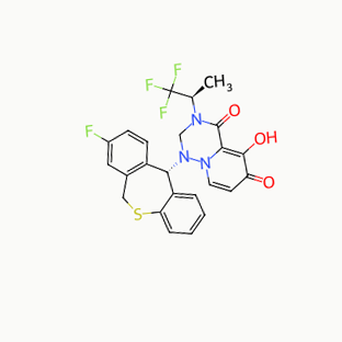 C[C@@H](N1CN([C@H]2c3ccc(F)cc3CSc3ccccc32)n2ccc(=O)c(O)c2C1=O)C(F)(F)F